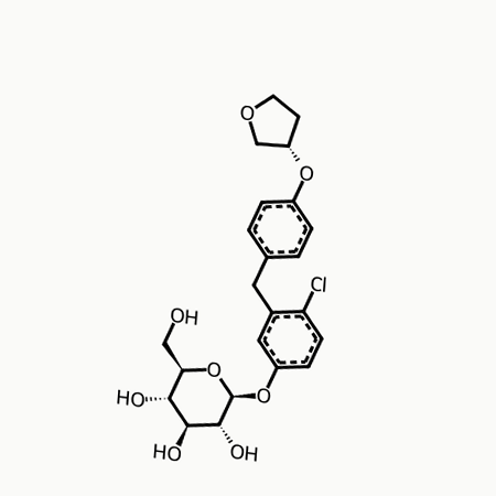 OC[C@H]1O[C@@H](Oc2ccc(Cl)c(Cc3ccc(O[C@H]4CCOC4)cc3)c2)[C@H](O)[C@@H](O)[C@@H]1O